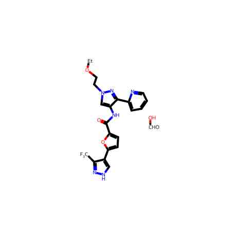 CCOCCn1cc(NC(=O)c2ccc(-c3c[nH]nc3C(F)(F)F)o2)c(-c2ccccn2)n1.O=CO